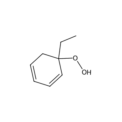 CCC1(OO)C=CC=CC1